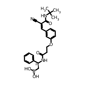 CC(C)(C)NC(=O)C(C#N)=Cc1cccc(OCCC(=O)N[C@@H](CB(O)O)c2ccccc2)c1